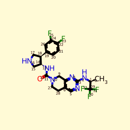 C[C@H](Nc1ncc2c(n1)CN(C(=O)N[C@@H]1CNC[C@H]1c1ccc(F)c(F)c1)CC2)C(F)(F)F